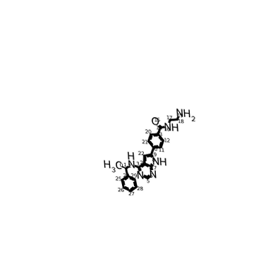 C[C@@H](Nc1ncnc2[nH]c(-c3ccc(C(=O)NCCN)cc3)cc12)c1ccccc1